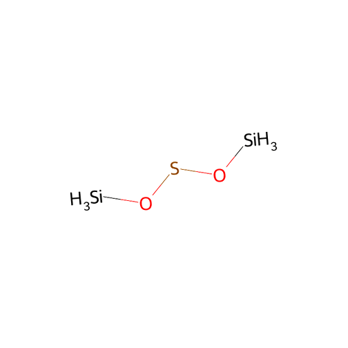 [SiH3]OSO[SiH3]